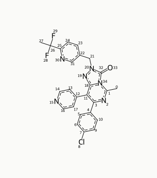 Cc1nc(-c2ccc(Cl)cc2)c(-c2ccncc2)c2nn(Cc3ccc(C(C)(F)F)nc3)c(=O)n12